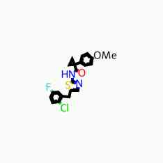 COc1ccc(C2(C(=O)Nc3ncc(Cc4cc(F)ccc4Cl)s3)CC2)cc1